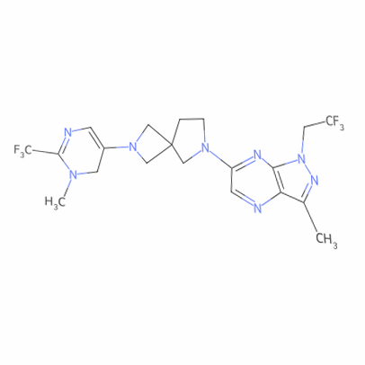 Cc1nn(CC(F)(F)F)c2nc(N3CCC4(CN(C5=CN=C(C(F)(F)F)N(C)C5)C4)C3)cnc12